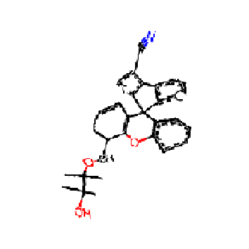 CC(C)(O)C(C)(C)OBC1CC=CC2=C1Oc1ccccc1C21c2ccccc2-c2c(C#N)cccc21